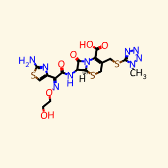 Cn1nnnc1SCC1=C(C(=O)O)N2C(=O)C(NC(=O)C(=NOCCO)c3csc(N)n3)[C@@H]2SC1